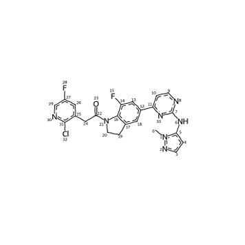 Cn1nccc1Nc1nccc(-c2cc(F)c3c(c2)CCN3C(=O)Cc2cc(F)cnc2Cl)n1